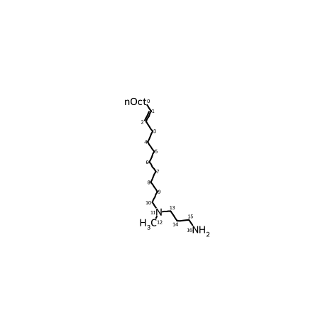 CCCCCCCCC=CCCCCCCCCN(C)CCCN